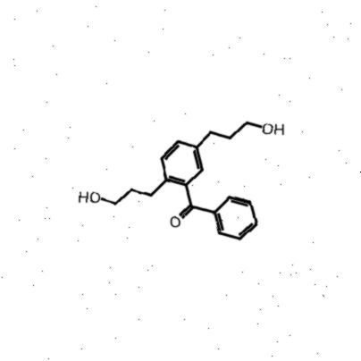 O=C(c1ccccc1)c1cc(CCCO)ccc1CCCO